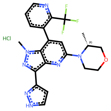 C[C@@H]1COCCN1c1cc(-c2cccnc2C(F)(F)F)c2c(n1)c(-c1cc[nH]n1)nn2C.Cl